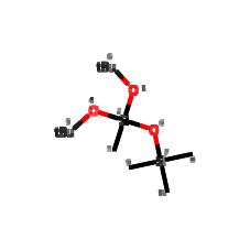 CC(C)(C)O[Si](C)(OC(C)(C)C)O[Si](C)(C)C